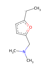 C[CH]c1ccc(CN(C)C)o1